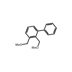 COCc1cccc(-c2ccccc2)c1COC